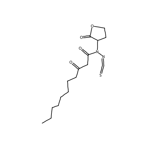 CCCCCCCCC(=O)CC(=O)N(N=C=S)C1CCOC1=O